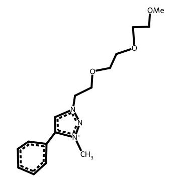 COCCOCCOCCn1cc(-c2ccccc2)[n+](C)n1